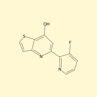 Oc1cc(-c2ncccc2F)nc2ccsc12